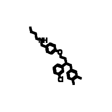 CCCCNCc1ccc(OCCC(Cc2ccc(C)c(C)c2)c2cccc(Cl)c2)cc1